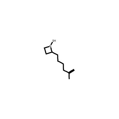 C=C(C)CCCCC1CCN1S